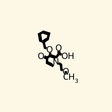 COCCn1ccc(=O)c(OCc2ccccc2)c1C(=O)O